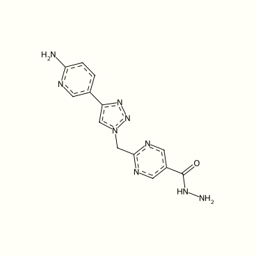 NNC(=O)c1cnc(Cn2cc(-c3ccc(N)nc3)nn2)nc1